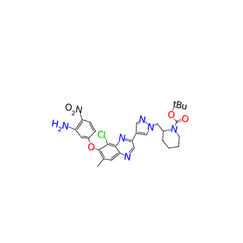 Cc1cc2ncc(-c3cnn(CC4CCCCN4C(=O)OC(C)(C)C)c3)nc2c(Cl)c1Oc1ccc([N+](=O)[O-])c(N)c1